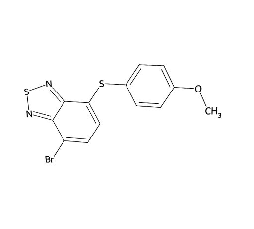 COc1ccc(Sc2ccc(Br)c3nsnc23)cc1